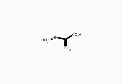 C=C(NC(=O)O)C(=O)O